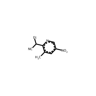 CCC(C#N)c1ncc([N+](=O)[O-])cc1C